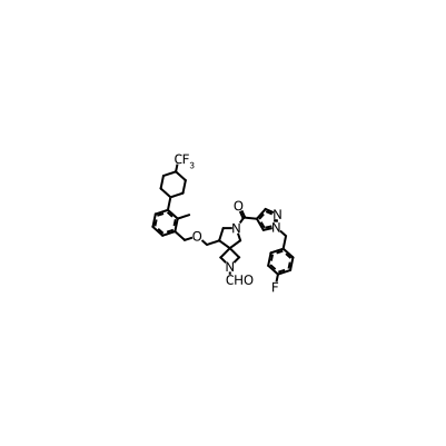 Cc1c(COCC2CN(C(=O)c3cnn(Cc4ccc(F)cc4)c3)CC23CN(C=O)C3)cccc1C1CCC(C(F)(F)F)CC1